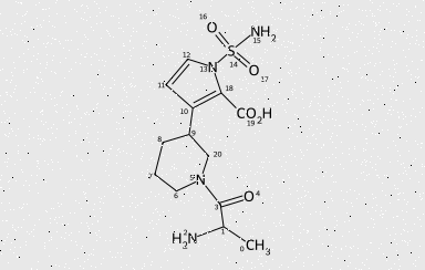 CC(N)C(=O)N1CCCC(c2ccn(S(N)(=O)=O)c2C(=O)O)C1